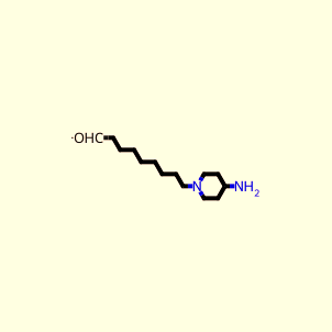 NC1CCN(CCCCCCCC[C]=O)CC1